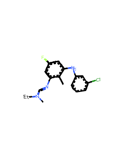 CCN(C)C=Nc1cc(F)cc(Nc2cccc(Cl)c2)c1C